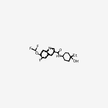 CCC1(O)CCC(NC(=O)c2cnc3cc(OC(F)F)c(F)cc3c2)CC1